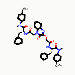 COc1ccc(N(C)C(=O)[C@H](Cc2ccccc2)NC(=O)COc2nc3ccccc3n(CC(=O)N[C@@H](Cc3ccccc3)C(=O)N(C)c3ccc(OC)cc3)c2=O)cc1